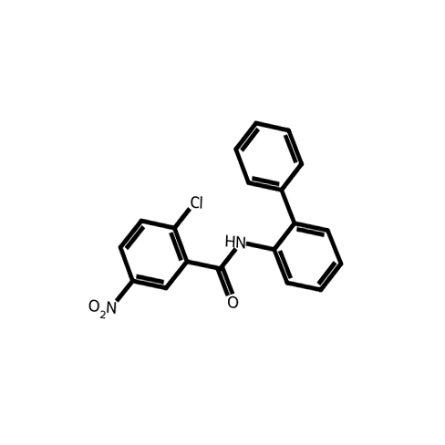 O=C(Nc1ccccc1-c1ccccc1)c1cc([N+](=O)[O-])ccc1Cl